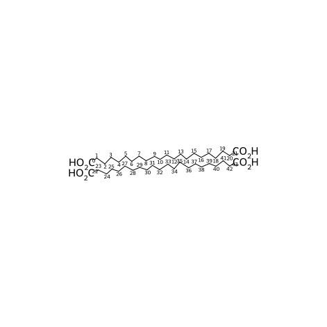 O=C(O)CCCCCCCCCCCCCCCCCCCCC(=O)O.O=C(O)CCCCCCCCCCCCCCCCCCCCC(=O)O